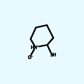 [O-][NH+]1CCCCC1S